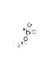 C[C@H]1COCCN1c1cc(C2(S(=O)(=O)c3ccncc3)CC2)nc(-c2ccc(NC(=O)NC3(CO)CC3)cc2)n1